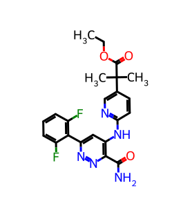 CCOC(=O)C(C)(C)c1ccc(Nc2cc(-c3c(F)cccc3F)nnc2C(N)=O)nc1